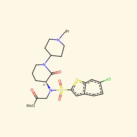 COC(=O)CN([C@H]1CCCN(C2CCN(C(C)C)CC2)C1=O)S(=O)(=O)c1cc2ccc(Cl)cc2s1